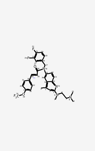 Cc1cc(N(C)CCN(C)C)nc2ccc(N(Cc3ccc(F)c(F)c3)C(=O)/C=C/c3ccc(OC(F)(F)F)cc3)cc12